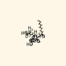 CCCCCCCCC(=O)SC[C@H](NC(=O)CC[C@H](N)C(=O)O)C(=O)NCC(=O)O